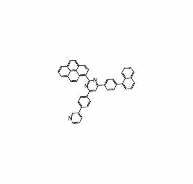 c1cncc(-c2ccc(-c3cc(-c4ccc(-c5cccc6ccccc56)cc4)nc(-c4ccc5ccc6cccc7ccc4c5c67)n3)cc2)c1